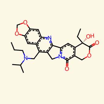 CCCN(Cc1c2c(nc3cc4c(cc13)OCO4)-c1cc3c(c(=O)n1C2)COC(=O)[C@]3(O)CC)C(C)C